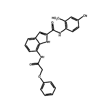 N#Cc1ccc(NC(=O)c2cc3cccc(NC(=O)COc4ccccc4)c3[nH]2)c(C(=O)O)c1